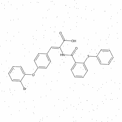 O=C(O)C(=Cc1ccc(Oc2ccccc2Br)cc1)NC(=O)c1ccccc1Sc1ccccc1